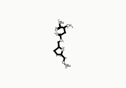 CC(CC(=O)OCC1CCC(COC(C)(C)C)O1)C(=O)C(C)(C)C